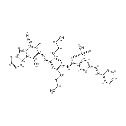 Cc1c(N=Nc2cc(OCCO)c(N=Nc3ccc(N=Nc4ccccc4)cc3S(=O)(=O)O)cc2OCCO)c(O)n2c(nc3ccccc32)c1C#N